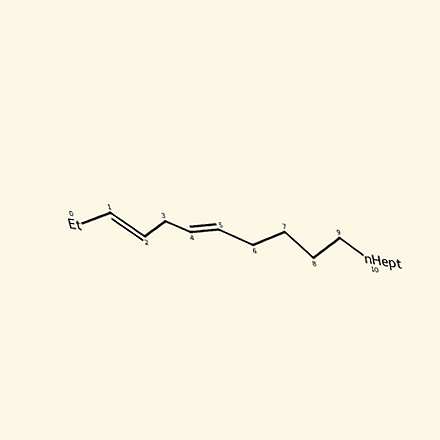 [CH2]CC=CCC=CCCCCCCCCCCC